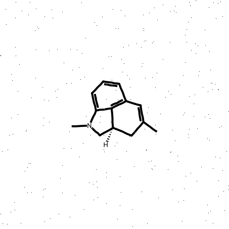 CC1=Cc2cccc3c2[C@@H](C1)CN3C